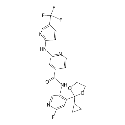 O=C(Nc1cnc(F)cc1C1(C2CC2)OCCO1)c1ccnc(Nc2ccc(C(F)(F)F)cn2)c1